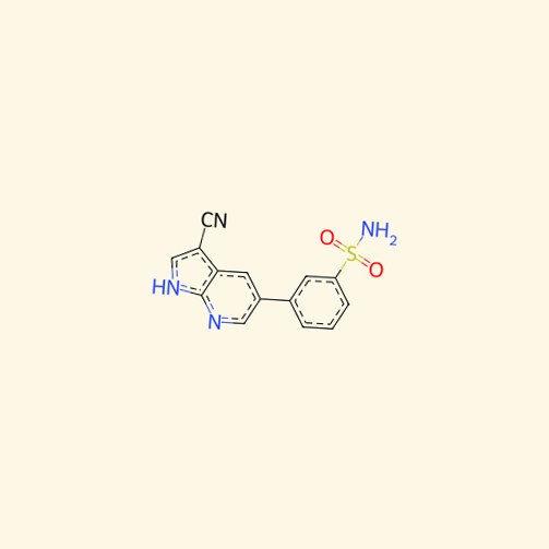 N#Cc1c[nH]c2ncc(-c3cccc(S(N)(=O)=O)c3)cc12